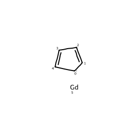 [CH]1C=CC=C1.[Gd]